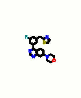 Fc1cc(Cc2nccs2)cc(-c2ncnc3cc(N4CCOCC4)ccc23)c1